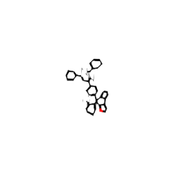 C1=CCCC(c2nc(-c3ccccc3)cc(-c3ccc4c(c3)Oc3ccccc3C43c4ccccc4-c4ccccc43)n2)=C1